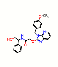 O=C(COc1nc2cccnc2n1Cc1ccc(OC(F)(F)F)cc1)NC(CO)c1ccccc1